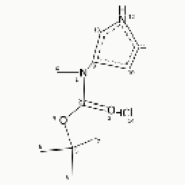 CN(C(=O)OC(C)(C)C)c1cc[nH]c1.Cl